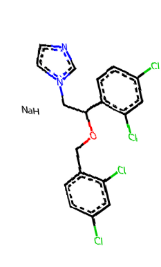 Clc1ccc(COC(Cn2ccnc2)c2ccc(Cl)cc2Cl)c(Cl)c1.[NaH]